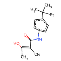 CCC(C)(C)c1ccc(NC(=O)/C(C#N)=C(/C)O)cc1